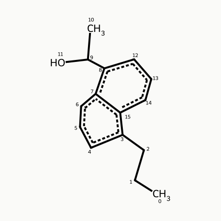 CCCc1cccc2c(C(C)O)cccc12